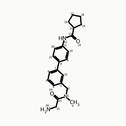 CN(Cc1cccc(-c2ccc(NC(=O)C3CCCC3)cc2)c1)C(=O)CN